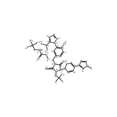 Cn1ccc(C2=CCC([C@@]3(CC(C)(C)C)NC(=N)N([C@H](COC(=O)NCC(F)(F)F)c4ccc(Cl)c(-n5ncnc5C(F)F)c4)C3=O)C=C2)n1